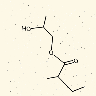 CCC(C)C(=O)OCC(C)O